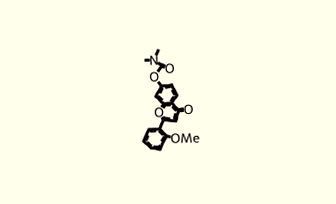 COc1ccccc1-c1cc(=O)c2ccc(OC(=O)N(C)C)cc2o1